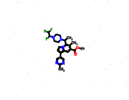 Cc1ncc(-c2ccn3c(C(C)N4CCN(C(F)C(F)F)CC4)c(C)c(C(=O)OC(C)C)cc23)cn1